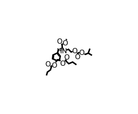 CCCC(=O)Oc1ccc(C[C@H](NCCOC(=O)OCC(C)C)C(=O)OC)cc1OC(=O)CCC